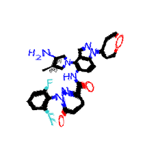 C[C@@H]1CN(c2c(NC(=O)c3ccc(=O)n(-c4c(F)cccc4F)n3)ccc3c2cnn3C2CCOCC2)C[C@@H]1N